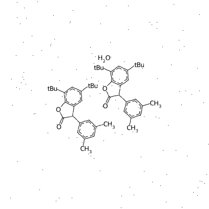 Cc1cc(C)cc(C2C(=O)Oc3c2cc(C(C)(C)C)cc3C(C)(C)C)c1.Cc1cc(C)cc(C2C(=O)Oc3c2cc(C(C)(C)C)cc3C(C)(C)C)c1.O